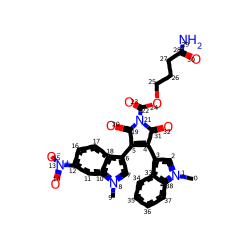 Cn1cc(C2=C(c3cn(C)c4cc([N+](=O)[O-])ccc34)C(=O)N(C(=O)OCCCC(N)=O)C2=O)c2ccccc21